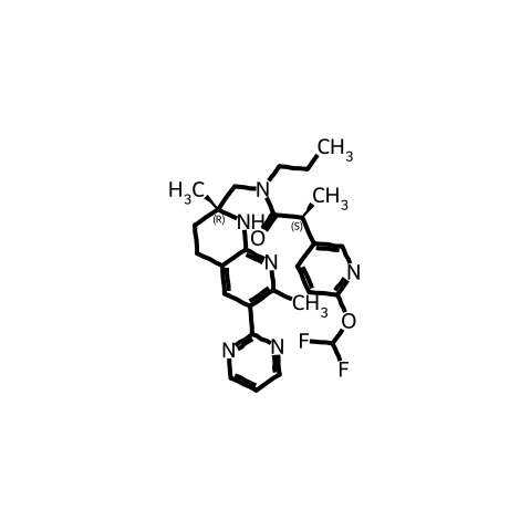 CCCN(C[C@@]1(C)CCc2cc(-c3ncccn3)c(C)nc2N1)C(=O)[C@@H](C)c1ccc(OC(F)F)nc1